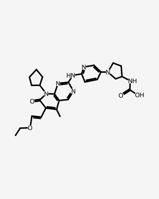 CCOC=Cc1c(C)c2cnc(Nc3ccc(N4CCC(NC(=O)O)C4)cn3)nc2n(C2CCCC2)c1=O